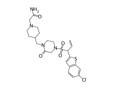 C=CC(c1cc2ccc(Cl)cc2s1)S(=O)(=O)N1CCN(CC2CCN(CC(N)=O)CC2)C(=O)C1